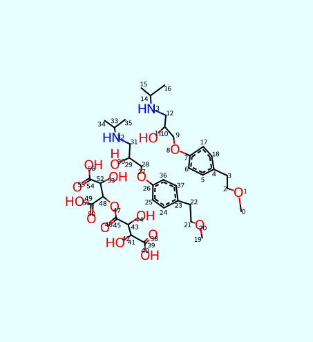 COCCc1ccc(OCC(O)CNC(C)C)cc1.COCCc1ccc(OCC(O)CNC(C)C)cc1.O=C(O)C(O)C(O)C(=O)OC(C(=O)O)C(O)C(=O)O